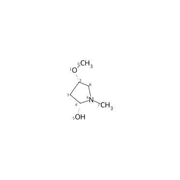 CO[C@H]1C[C@@H](O)N(C)C1